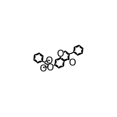 O=c1c(-c2ccccc2)coc2cc(OS(=O)(=O)c3ccccc3)ccc12